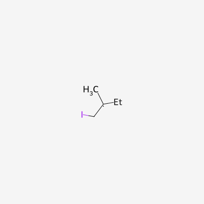 CC[C](C)CI